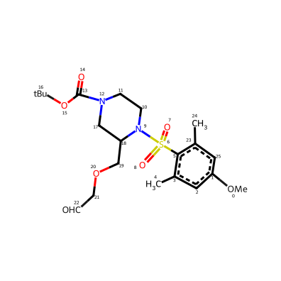 COc1cc(C)c(S(=O)(=O)N2CCN(C(=O)OC(C)(C)C)CC2COCC=O)c(C)c1